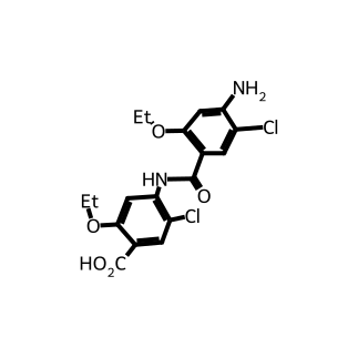 CCOc1cc(NC(=O)c2cc(Cl)c(N)cc2OCC)c(Cl)cc1C(=O)O